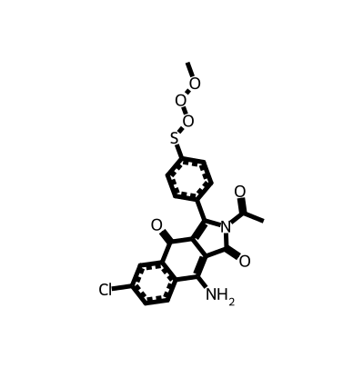 COOOSc1ccc(C2=C3C(=O)c4cc(Cl)ccc4C(N)=C3C(=O)N2C(C)=O)cc1